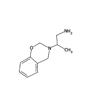 CC(CN)N1COc2ccccc2C1